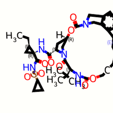 CC[C@@H]1C[C@]1(NC(=O)[C@@H]1C[C@@H]2CN1C(=O)[C@H](C(C)(C)C)NC(=O)OCCCC/C=C/c1cccc3c1CN(C3)C(=O)O2)C(=O)NS(=O)(=O)C1CC1